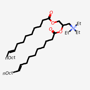 CCCCCCCCC=CCCCCCCCC(=O)OCC(C[N+](CC)(CC)CC)OC(=O)CCCCCCCC=CCCCCCCCC